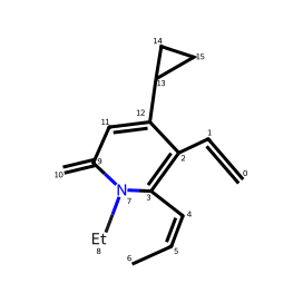 C=CC1=C(/C=C\C)N(CC)C(=C)C=C1C1CC1